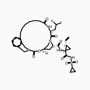 C=C[C@@H]1C[C@]1(NC(=O)[C@@H]1C[C@@H]2CN1C(=O)[C@H](CC(F)F)NC(=O)CCCCCCc1cccc3c1CN(C3)C(=O)O2)C(=O)NS(=O)(=O)C1CC1